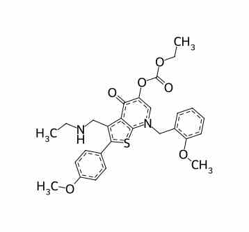 CCNCc1c(-c2ccc(OC)cc2)sc2c1c(=O)c(OC(=O)OCC)cn2Cc1ccccc1OC